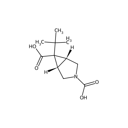 CC(C)(C)C1(C(=O)O)[C@@H]2CN(C(=O)O)C[C@@H]21